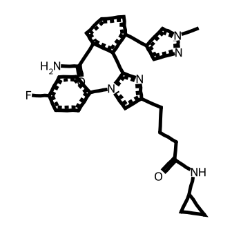 Cn1cc(-c2cccc(C(N)=O)c2-c2nc(CCCC(=O)NC3CC3)cn2-c2ccc(F)cc2)cn1